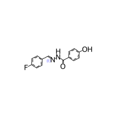 O=C(N/N=C/c1ccc(F)cc1)c1ccc(O)cc1